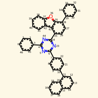 c1ccc(-c2nc(-c3ccc(-c4cccc5ccccc45)cc3)nc(-c3ccc(-c4ccccc4)c4oc5ccccc5c34)n2)cc1